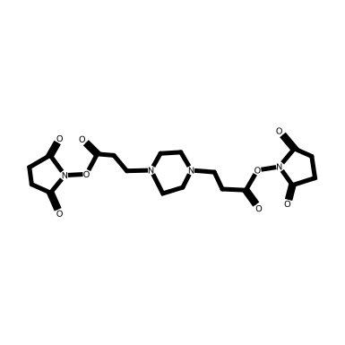 O=C(CCN1CCN(CCC(=O)ON2C(=O)CCC2=O)CC1)ON1C(=O)CCC1=O